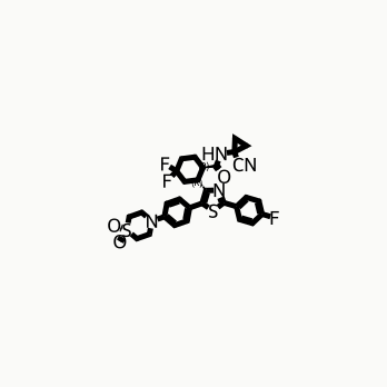 N#CC1(NC(=O)[C@@H]2CCC(F)(F)C[C@H]2c2nc(-c3ccc(F)cc3)sc2-c2ccc(N3CCS(=O)(=O)CC3)cc2)CC1